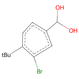 CC(C)(C)c1ccc(C(O)O)cc1Br